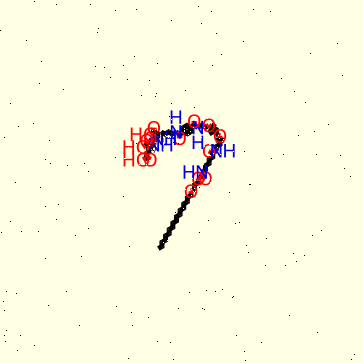 CCCCCCCCCCCCCCCCCCOCCCOC(=O)NCCCCCC(=O)NCCC(C)(C)OCCC(C)(CC)OCCNC(=O)c1ccc(C(=O)NCCCC[C@H](NC(=O)N[C@@H](CCC(=O)O)C(=O)O)C(=O)O)cc1